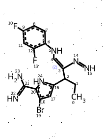 CCC(/C(=C/Nc1ccc(F)cc1F)N=N)c1cc(Br)c(C(=N)N)[nH]1